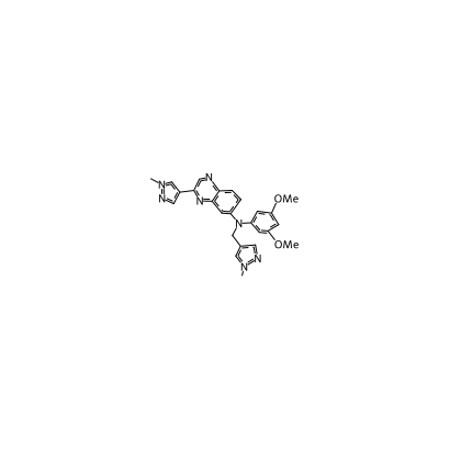 COc1cc(OC)cc(N(Cc2cnn(C)c2)c2ccc3ncc(-c4cnn(C)c4)nc3c2)c1